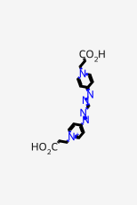 O=C(O)CCn1ccc(=NN=CN=Nc2cc[n+](CCC(=O)O)cc2)cc1